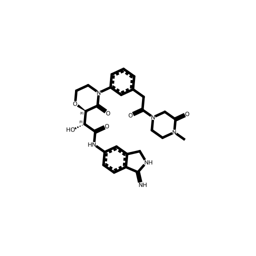 CN1CCN(C(=O)Cc2cccc(N3CCO[C@H]([C@@H](O)C(=O)Nc4ccc5c(c4)CNC5=N)C3=O)c2)CC1=O